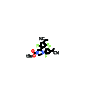 CC(C#N)c1cc(F)c(C2CN(C(=O)OC(C)(C)C)CCN2c2cc(F)c(C(C)C#N)cc2F)cc1F